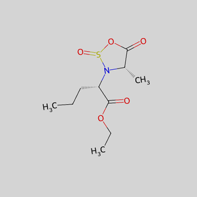 CCC[C@@H](C(=O)OCC)N1[C@@H](C)C(=O)OS1=O